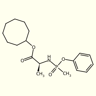 C[C@H](NP(C)(=O)Oc1ccccc1)C(=O)OC1CCCCCCC1